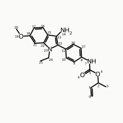 C=CC(C)OC(=O)Nc1ccc(-c2c(N)c3ccc(OC)cc3n2CC)cc1